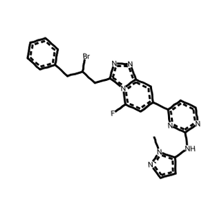 Cn1nccc1Nc1nccc(-c2cc(F)n3c(CC(Br)Cc4ccccc4)nnc3c2)n1